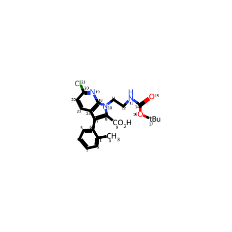 Cc1ccccc1-c1c(C(=O)O)n(CCNC(=O)OC(C)(C)C)c2nc(Cl)ccc12